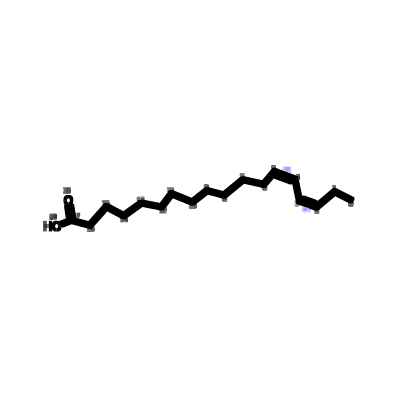 CC/C=C\C=C/CCCCCCCCCCCC(=O)O